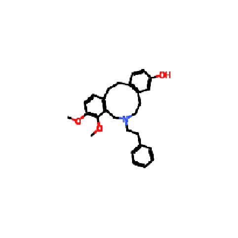 COc1ccc2c(c1OC)CN(CCc1ccccc1)CCc1cc(O)ccc1CC2